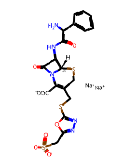 NC(C(=O)NC1C(=O)N2C(C(=O)[O-])=C(CSc3nnc(CS(=O)(=O)[O-])o3)CS[C@@H]12)c1ccccc1.[Na+].[Na+]